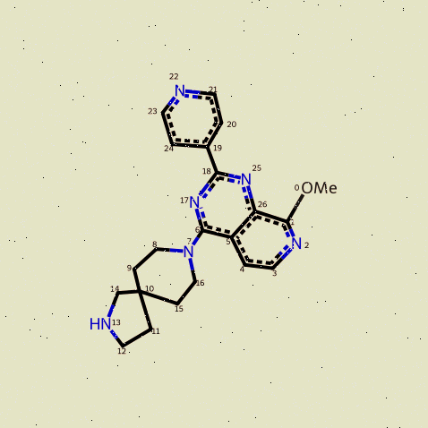 COc1nccc2c(N3CCC4(CCNC4)CC3)nc(-c3ccncc3)nc12